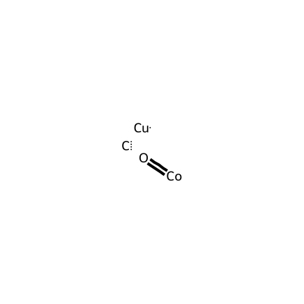 [C].[Cu].[O]=[Co]